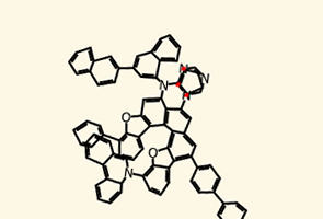 C1=CC2=c3ccccc3=CN(c3cccc4c3oc3c4c(-c4ccc(-c5ccccc5)cc4)cc4cc(N5C=NC=NC5)c5c(N(c6cc(-c7ccc8ccccc8c7)cc7ccccc67)C6CCCC6)cc6oc7c(-c8ccccc8)cccc7c6c5c43)C2C=C1